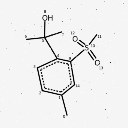 Cc1ccc(C(C)(C)O)c(S(C)(=O)=O)c1